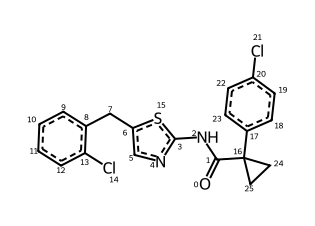 O=C(Nc1ncc(Cc2ccccc2Cl)s1)C1(c2ccc(Cl)cc2)CC1